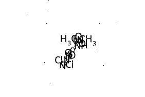 Cn1c(=O)c2[nH]c(-c3ccc(S(=O)(=O)N4CCN(c5c(Cl)cncc5Cl)CC4)cc3)cc2n(C)c1=O